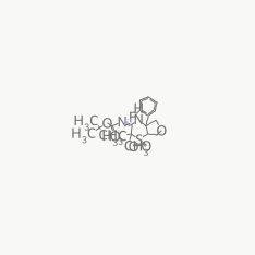 CC(C)(C)OC(=O)/N=C1/NC2(c3ccccc3F)COCC2S(=O)(=O)C1(C)C